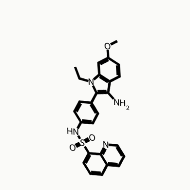 CCn1c(-c2ccc(NS(=O)(=O)c3cccc4cccnc34)cc2)c(N)c2ccc(OC)cc21